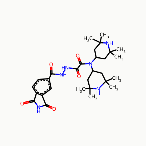 CC1(C)CC(N(C(=O)C(=O)NNC(=O)c2ccc3c(c2)C(=O)NC3=O)C2CC(C)(C)NC(C)(C)C2)CC(C)(C)N1